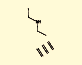 C=C.C=C.C=C.CCNCC